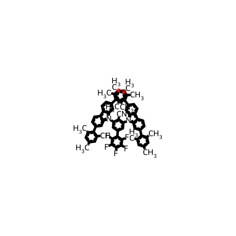 Cc1cc(C)c(-c2ccc3c4ccc(-c5c(C)cc(C)cc5C)cc4n(-c4cc(-c5c(F)c(F)c(F)c(F)c5F)cc(-n5c6cc(-c7c(C)cc(C)cc7C)ccc6c6ccc(-c7c(C)cc(C)cc7C)cc65)c4C#N)c3c2)c(C)c1